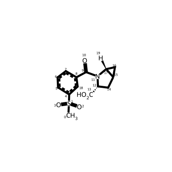 CS(=O)(=O)c1cccc(C(=O)N2[C@@H](C(=O)O)CC3C[C@H]32)c1